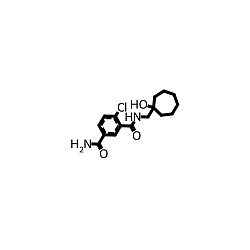 NC(=O)c1ccc(Cl)c(C(=O)NCC2(O)CCCCCC2)c1